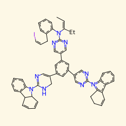 C/C=C(/CC)N(c1ncc(-c2cc(C3=CN=C(N4c5ccccc5C5C=CC=CC54)NC3)cc(-c3cnc(-n4c5c(c6ccccc64)C=CCC5)nc3)c2)cn1)c1ccccc1C/C=C\I